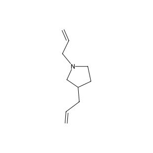 C=CCC1CCN(CC=C)C1